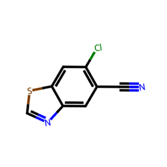 N#Cc1cc2ncsc2cc1Cl